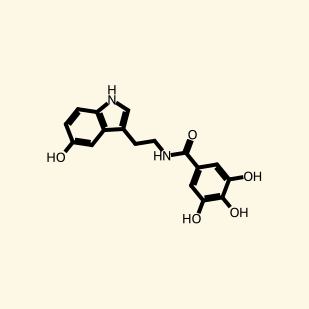 O=C(NCCc1c[nH]c2ccc(O)cc12)c1cc(O)c(O)c(O)c1